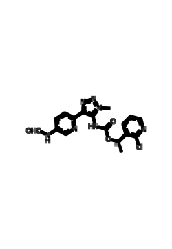 C[C@@H](OC(=O)Nc1c(-c2ccc(NC=O)cn2)nnn1C)c1cccnc1Cl